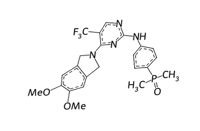 COc1cc2c(cc1OC)CN(c1nc(Nc3ccc(P(C)(C)=O)cc3)ncc1C(F)(F)F)C2